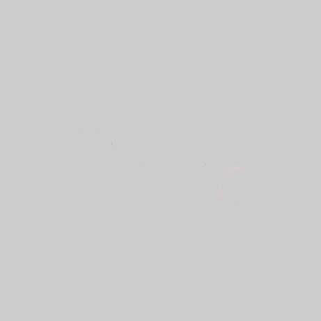 CC(C)(C)OC(=O)NC1CCCC(N2CCN(C3CC3)CC2)C1